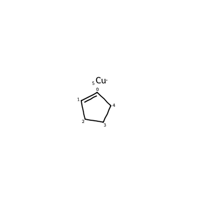 C1=CCCC1.[Cu]